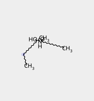 CCCCCC/C=C\CCCCCCCCCC(O)C(CC)NC(=O)CCCCCCCCCCCCC